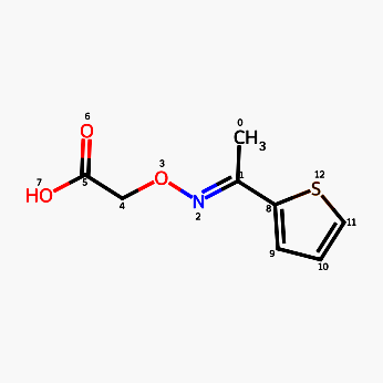 CC(=NOCC(=O)O)c1cccs1